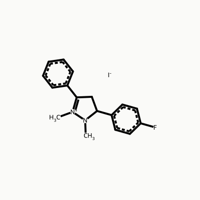 CN1C(c2ccc(F)cc2)CC(c2ccccc2)=[N+]1C.[I-]